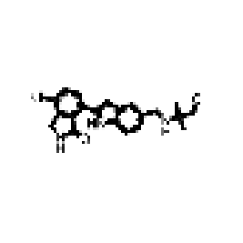 CC(C)(CO)NCc1ccc2[nH]c(-c3ccc(Cl)c4c3C(=O)NC4)cc2c1